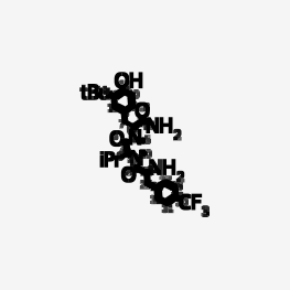 CC(C)[C@@H](C(=O)N(C)[C@@H](Cc1ccc(O)c(C(C)(C)C)c1)C(N)=O)N(C)C(=O)C(N)Cc1ccc(C(F)(F)F)cc1